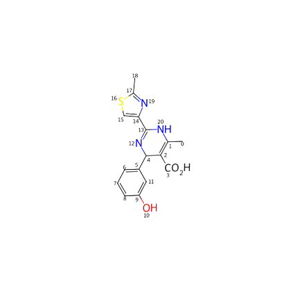 CC1=C(C(=O)O)C(c2cccc(O)c2)N=C(c2csc(C)n2)N1